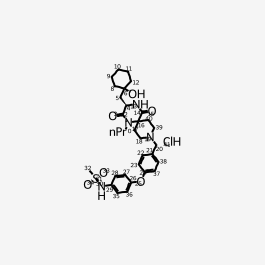 CCCN1C(=O)[C@@H](CC2(O)CCCCC2)NC(=O)C12CCN(Cc1ccc(Oc3ccc(NS(C)(=O)=O)cc3)cc1)CC2.Cl